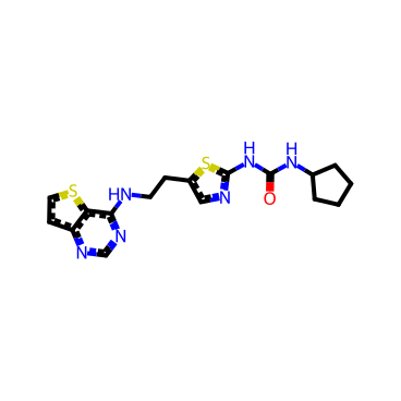 O=C(Nc1ncc(CCNc2ncnc3ccsc23)s1)NC1CCCC1